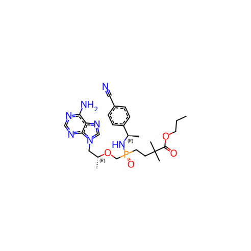 CCCOC(=O)C(C)(C)CCP(=O)(CO[C@H](C)Cn1cnc2c(N)ncnc21)N[C@H](C)c1ccc(C#N)cc1